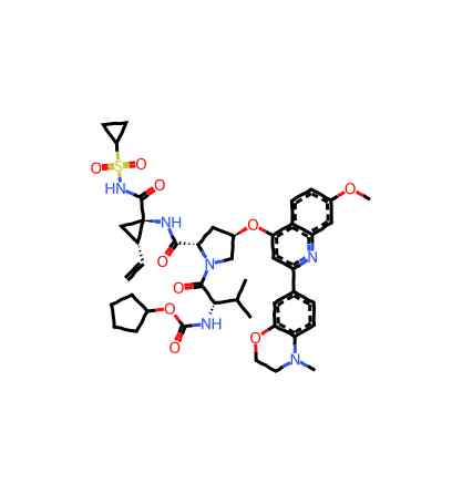 C=C[C@@H]1C[C@]1(NC(=O)[C@@H]1C[C@@H](Oc2cc(-c3ccc4c(c3)OCCN4C)nc3cc(OC)ccc23)CN1C(=O)[C@@H](NC(=O)OC1CCCC1)C(C)C)C(=O)NS(=O)(=O)C1CC1